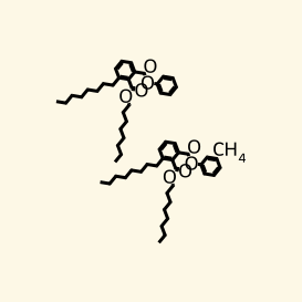 C.CCCCCCCCOC(=O)c1c(CCCCCCCC)cccc1C(=O)Oc1ccccc1.CCCCCCCCOC(=O)c1c(CCCCCCCC)cccc1C(=O)Oc1ccccc1